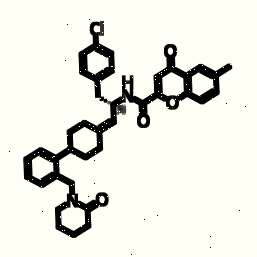 Cc1ccc2oc(C(=O)N[C@H](C=C3CCC(c4ccccc4CN4CCCCC4=O)CC3)Cc3ccc(Cl)cc3)cc(=O)c2c1